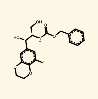 O=C(N[C@H](CO)[C@H](O)c1cc(F)c2c(c1)OCCO2)OCc1ccccc1